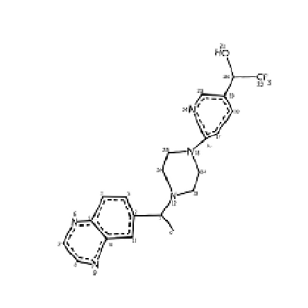 CC(c1ccc2nccnc2c1)N1CCN(c2ccc(C(O)C(F)(F)F)cn2)CC1